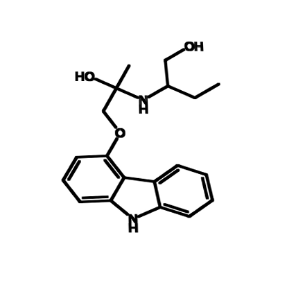 CCC(CO)NC(C)(O)COc1cccc2[nH]c3ccccc3c12